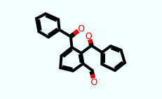 O=Cc1cccc(C(=O)c2ccccc2)c1C(=O)c1ccccc1